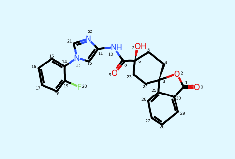 O=C1O[C@]2(CC[C@@](O)(C(=O)Nc3cn(-c4ccccc4F)cn3)CC2)c2ccccc21